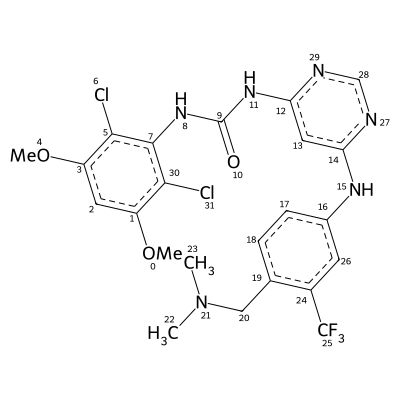 COc1cc(OC)c(Cl)c(NC(=O)Nc2cc(Nc3ccc(CN(C)C)c(C(F)(F)F)c3)ncn2)c1Cl